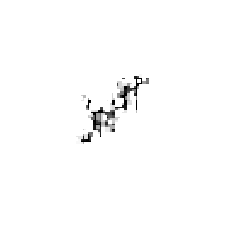 CCCc1cn2c(-c3ccc(C(=O)NC4CC4)cc3)cnc2c(NCC(C)C)n1